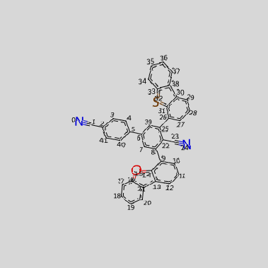 N#Cc1ccc(-c2cc(-c3cccc4c3oc3ccccc34)c(C#N)c(-c3cccc4c3sc3ccccc34)c2)cc1